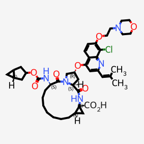 CC(C)=Cc1cc(O[C@@H]2C[C@H]3C(=O)N[C@]4(C(=O)O)C[C@H]4CCCCCCC[C@H](NC(=O)OC4CC5C[C@H]5C4)C(=O)N3C2)c2ccc(OCCN3CCOCC3)c(Cl)c2n1